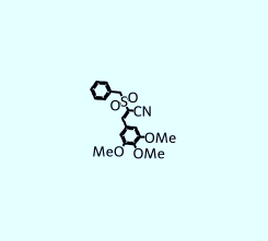 COc1cc(/C=C(\C#N)S(=O)(=O)Cc2ccccc2)cc(OC)c1OC